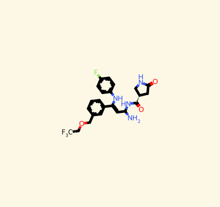 NC(/C=C(\Nc1ccc(F)cc1)c1cccc(COCC(F)(F)F)c1)NC(=O)[C@@H]1CNC(=O)C1